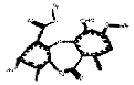 CCCOC(=O)c1cc(OC)c(C)c2c1Oc1c(C=O)c(OCCC)cc(C)c1C(=O)O2